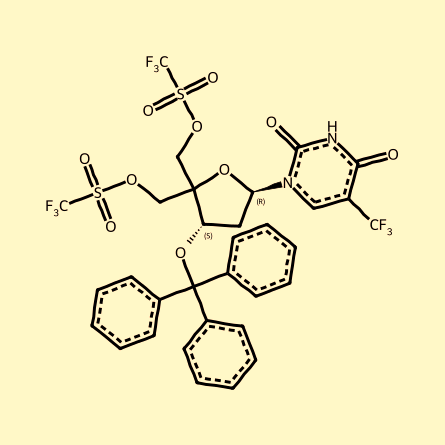 O=c1[nH]c(=O)n([C@H]2C[C@H](OC(c3ccccc3)(c3ccccc3)c3ccccc3)C(COS(=O)(=O)C(F)(F)F)(COS(=O)(=O)C(F)(F)F)O2)cc1C(F)(F)F